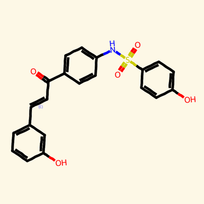 O=C(/C=C/c1cccc(O)c1)c1ccc(NS(=O)(=O)c2ccc(O)cc2)cc1